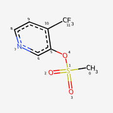 CS(=O)(=O)Oc1cnccc1C(F)(F)F